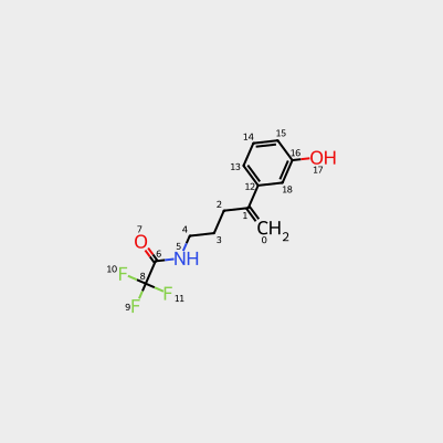 C=C(CCCNC(=O)C(F)(F)F)c1cccc(O)c1